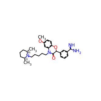 COc1ccc2c(c1)N(CCCCCN1[C@H](C)CCC[C@@H]1C)C(=O)C(c1cccc(C(=N)N)c1)O2